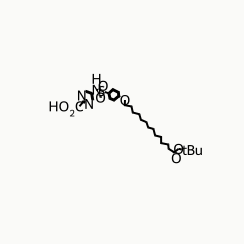 CC(C)(C)OC(=O)CCCCCCCCCCCCCOc1ccc(S(=O)(=O)Nc2cnc(C(=O)O)nc2)cc1